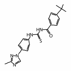 Cc1ncn(-c2ccc(NC(=S)NC(=O)c3ccc(C(C)(C)C)cc3)cc2)n1